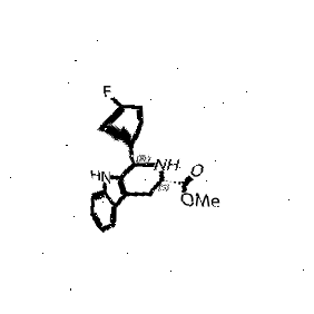 COC(=O)[C@@H]1Cc2c([nH]c3ccccc23)[C@@H](c2ccc(F)cc2)N1